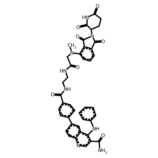 CN(CC(=O)NCCNC(=O)c1ccc(-c2ccc3ncc(C(N)=O)c(Nc4ccccc4)c3c2)cc1)c1cccc2c1C(=O)N(C1CCC(=O)NC1=O)C2=O